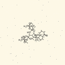 CC(C)(CCCC(C)(CCCC(C)(C)O[Si](C)(C)C)C1CCC2C(=O)CCCC21C)O[Si](C)(C)C